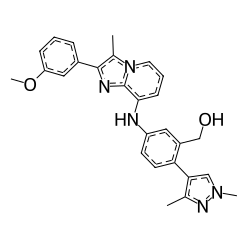 COc1cccc(-c2nc3c(Nc4ccc(-c5cn(C)nc5C)c(CO)c4)cccn3c2C)c1